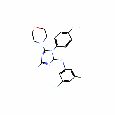 COc1ccc(N2C(N3CCOCC3)=NC(N)=NC2Nc2cc(Cl)cc(Cl)c2)cc1